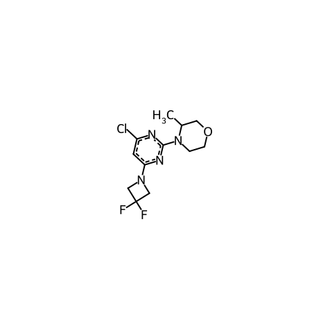 CC1COCCN1c1nc(Cl)cc(N2CC(F)(F)C2)n1